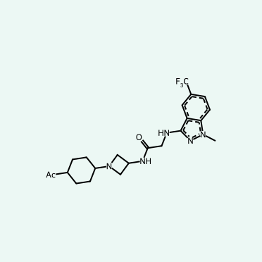 CC(=O)C1CCC(N2CC(NC(=O)CNc3nn(C)c4ccc(C(F)(F)F)cc34)C2)CC1